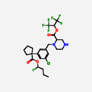 CCCC(F)OC(=O)C1(c2cc(Cl)cc(CN3CCNCC3C(=O)OC(C(F)(F)F)C(F)(F)F)c2)CCCC1